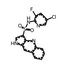 O=S(=O)(Nc1ncc(Cl)cc1F)c1c[nH]c2cc3ccccc3nc12